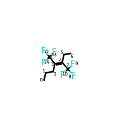 CCCC(=C(CC)C(F)(F)F)C(F)(F)F